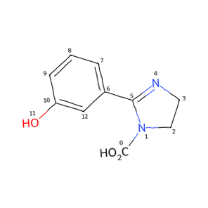 O=C(O)N1CCN=C1c1cccc(O)c1